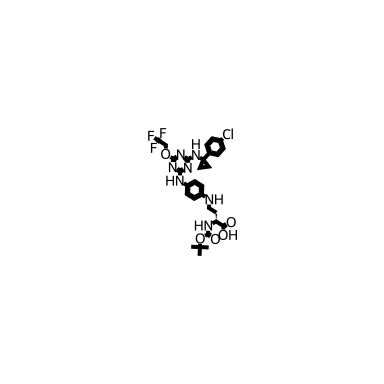 CC(C)(C)OC(=O)N[C@H](CCNc1ccc(Nc2nc(NC3(c4ccc(Cl)cc4)CC3)nc(OCC(F)(F)F)n2)cc1)C(=O)O